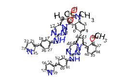 CN(c1ccccc1-c1ccc2cnc(Nc3ccc(-c4cccnc4)cc3)nn12)S(C)(=O)=O.COc1ccccc1-c1ccc2cnc(Nc3ccc(-c4cccnc4)cc3)nn12